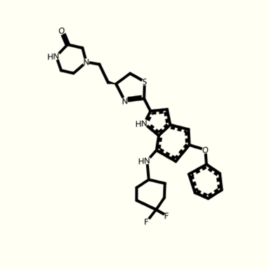 O=C1CN(CC[C@H]2CSC(c3cc4cc(Oc5ccccc5)cc(NC5CCC(F)(F)CC5)c4[nH]3)=N2)CCN1